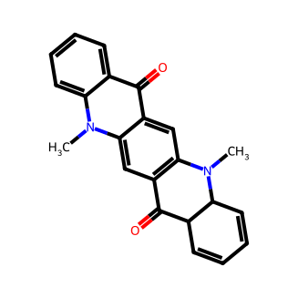 CN1c2cc3c(=O)c4ccccc4n(C)c3cc2C(=O)C2C=CC=CC21